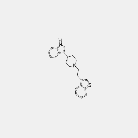 C1=C(c2c[nH]c3ccccc23)CCN(CCc2csc3ccccc23)C1